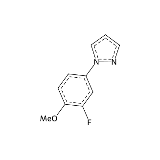 COc1ccc(-n2cccn2)cc1F